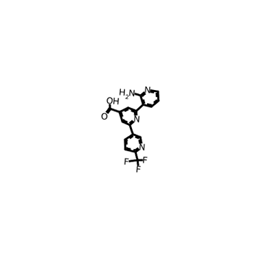 Nc1ncccc1-c1cc(C(=O)O)cc(-c2ccc(C(F)(F)F)nc2)n1